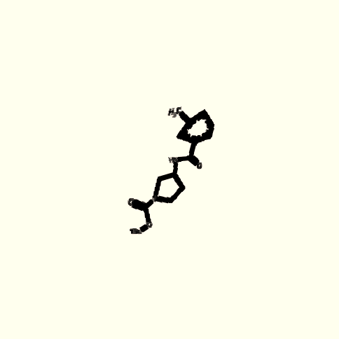 Cc1cccc(C(=O)NC2CCN(C(=O)OC(C)(C)C)C2)c1